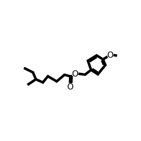 CCC(C)CCCCC(=O)OCc1ccc(OC)cc1